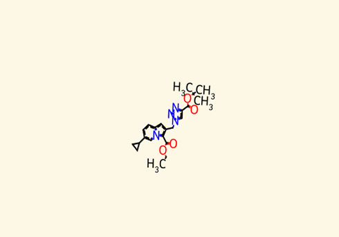 CCOC(=O)c1c(Cn2cc(C(=O)OC(C)(C)C)nn2)cc2ccc(C3CC3)cn12